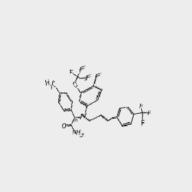 Cc1ccc([C@H](C(N)=O)N(CCCc2ccc(C(F)(F)F)cc2)c2ccc(F)c(OC(F)(F)F)c2)cc1